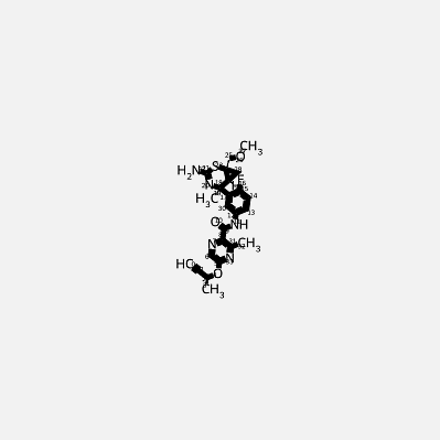 C#C[C@H](C)Oc1cnc(C(=O)Nc2ccc(F)c([C@@]3(C)N=C(N)S[C@@]4(COC)C[C@H]43)c2)c(C)n1